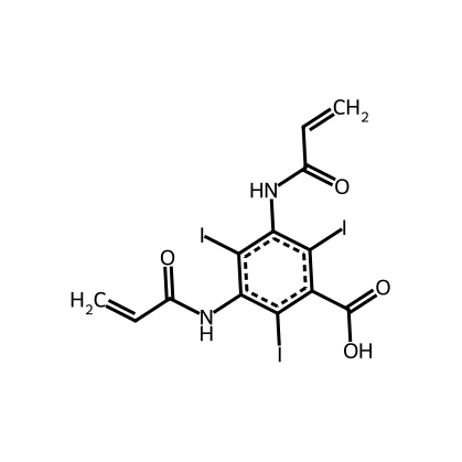 C=CC(=O)Nc1c(I)c(NC(=O)C=C)c(I)c(C(=O)O)c1I